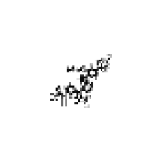 CCC(=O)Nc1cccc(N2C(=O)N(C)Cc3cnc(Nc4ccc(N5CCN(C)CC5)cc4OC)nc32)c1